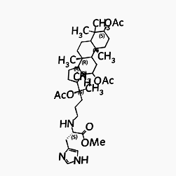 COC(=O)[C@H](Cc1c[nH]cn1)NCCC[C@](C)(OC(C)=O)C1CC[C@]2(C)[C@@H]1C(OC(C)=O)CC1[C@@]3(C)CC[C@H](OC(C)=O)C(C)(C)C3CC[C@]12C